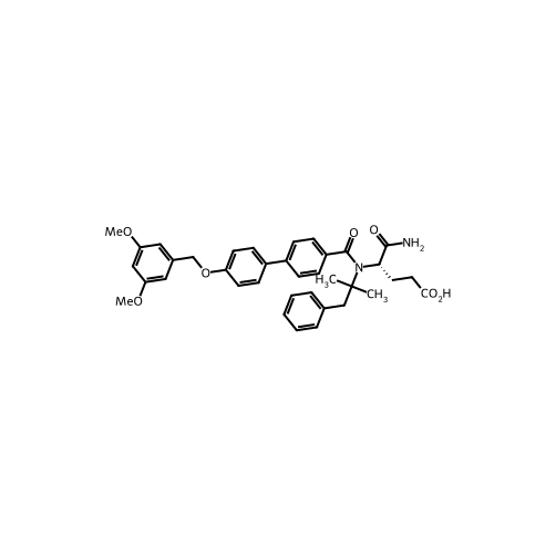 COc1cc(COc2ccc(-c3ccc(C(=O)N([C@@H](CCC(=O)O)C(N)=O)C(C)(C)Cc4ccccc4)cc3)cc2)cc(OC)c1